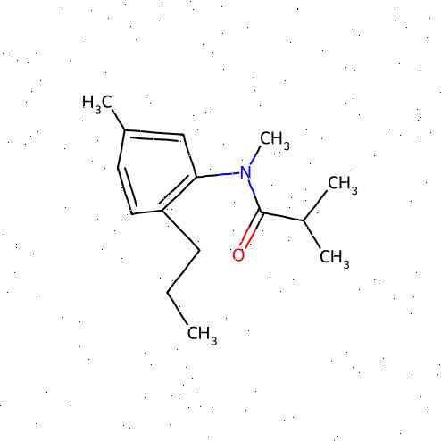 CCCc1ccc(C)cc1N(C)C(=O)C(C)C